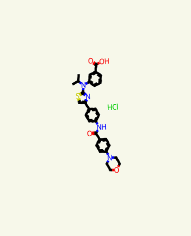 CC(C)N(c1cccc(C(=O)O)c1)c1nc(-c2ccc(NC(=O)c3ccc(N4CCOCC4)cc3)cc2)cs1.Cl